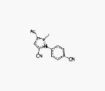 CC(=O)c1cc(C#N)n(-c2ccc(C#N)cc2)c1C